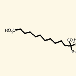 CC(C)C(CCCCCCCCCCC(=O)O)(C(=O)O)C(C)C